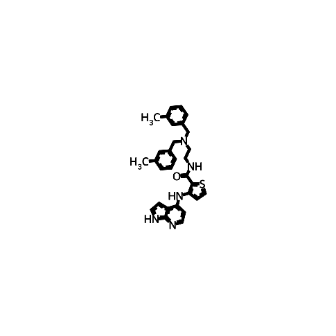 Cc1cccc(CN(CCNC(=O)c2sccc2Nc2ccnc3[nH]ccc23)Cc2cccc(C)c2)c1